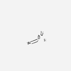 O=[P].[Li].[Si]